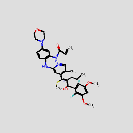 C=CC(=O)Nc1cc(N2CCOCC2)ccc1Nc1cc(/C(SC)=C(\CCC)C(O)c2c(F)c(OC)cc(OC)c2F)c(C)cn1